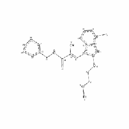 CCOCCOc1nc2c(C)cccn2c1C=C(C#N)C(=O)OCc1ccccc1